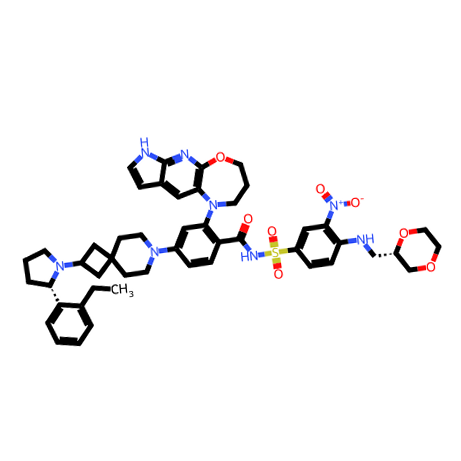 CCc1ccccc1[C@@H]1CCCN1C1CC2(CCN(c3ccc(C(=O)NS(=O)(=O)c4ccc(NC[C@H]5COCCO5)c([N+](=O)[O-])c4)c(N4CCCOc5nc6[nH]ccc6cc54)c3)CC2)C1